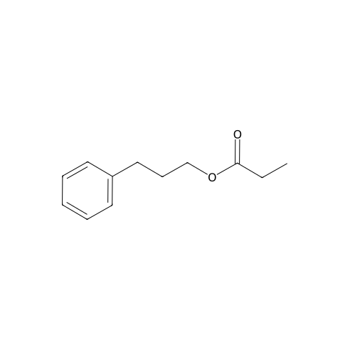 CCC(=O)OCCCc1ccccc1